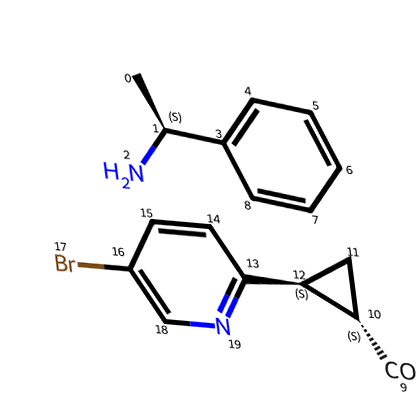 C[C@H](N)c1ccccc1.O=C(O)[C@H]1C[C@@H]1c1ccc(Br)cn1